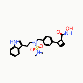 CN(C)S(=O)(=O)N(CCc1c[nH]c2ccccc12)Cc1ccc(C2C#CC2C(=O)NO)cc1